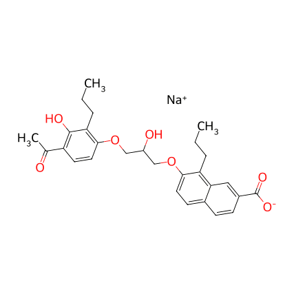 CCCc1c(OCC(O)COc2ccc3ccc(C(=O)[O-])cc3c2CCC)ccc(C(C)=O)c1O.[Na+]